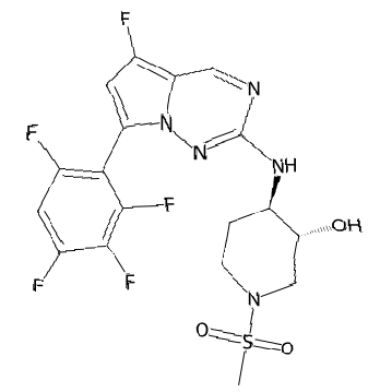 CS(=O)(=O)N1CC[C@@H](Nc2ncc3c(F)cc(-c4c(F)cc(F)c(F)c4F)n3n2)[C@H](O)C1